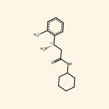 Cc1ccccc1[C@@H](N)CC(=O)NC1CCCCC1